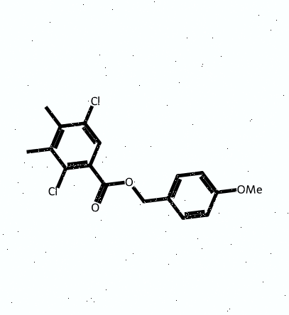 COc1ccc(COC(=O)c2cc(Cl)c(C)c(C)c2Cl)cc1